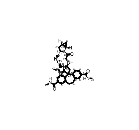 CNC(=O)c1ccc2c(c1)CCc1cc(C(=O)NC)ccc1C2(C[C@H](C)NCC(=O)N1[C@H](C#N)C[C@@H]2C[C@@H]21)c1nn(C)c(=O)[nH]1